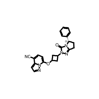 N#Cc1ccc(OC2CC(n3nc4n(c3=O)[C@H](c3ccccc3)CC4)C2)n2nccc12